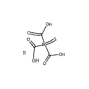 O=[C](O)[Bi](=[S])([C](=O)O)[C](=O)O.[Ti]